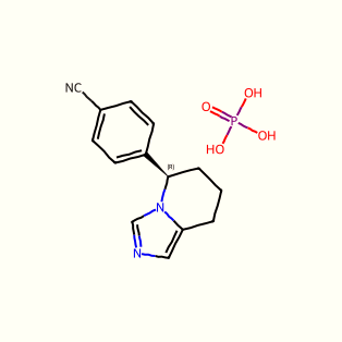 N#Cc1ccc([C@H]2CCCc3cncn32)cc1.O=P(O)(O)O